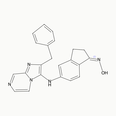 O/N=C1/CCc2cc(Nc3c(Cc4ccccc4)nc4cnccn34)ccc21